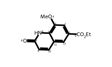 CCOC(=O)c1cc(OC)c2[nH]c(=O)ccc2c1